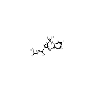 CC(O)CNC(=O)N1CC(C(F)(F)F)C1Oc1ccccc1